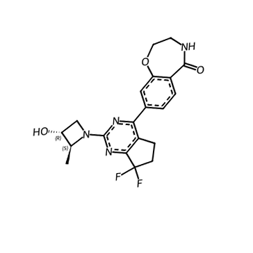 C[C@H]1[C@H](O)CN1c1nc(-c2ccc3c(c2)OCCNC3=O)c2c(n1)C(F)(F)CC2